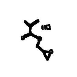 C=C(C)C(=O)OCC1CO1.Cl